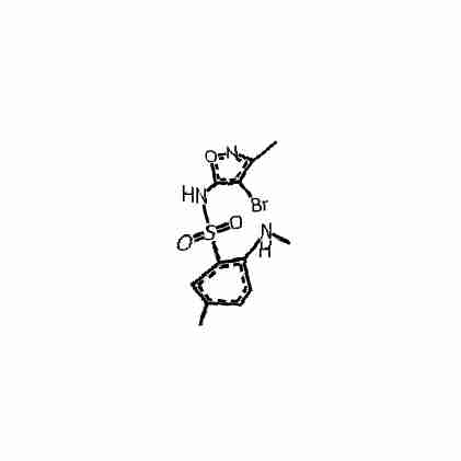 CNc1ccc(C)cc1S(=O)(=O)Nc1onc(C)c1Br